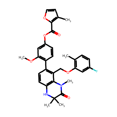 COc1cc(OC(=O)c2occc2C)ccc1-c1ccc2c(c1COc1cc(F)ccc1C)N(C)C(=O)C(C)(C)N2